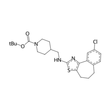 CC(C)(C)OC(=O)N1CCC(CNc2nc3c(s2)CCCc2ccc(Cl)cc2-3)CC1